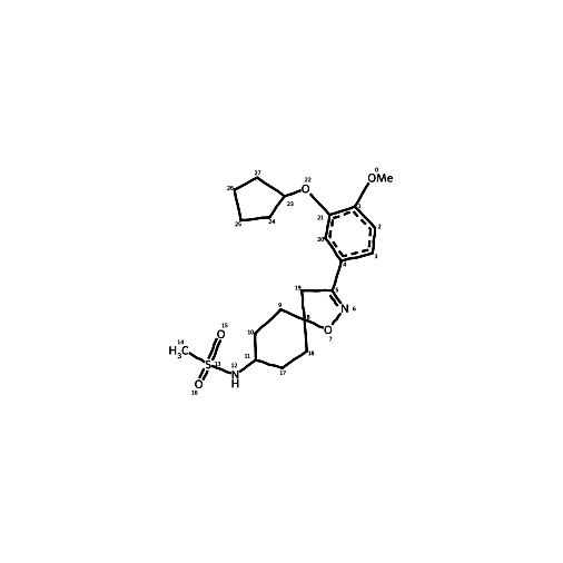 COc1ccc(C2=NOC3(CCC(NS(C)(=O)=O)CC3)C2)cc1OC1CCCC1